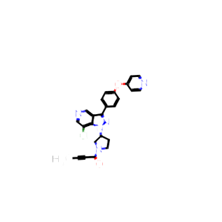 CC#CC(=O)N1CCC(n2nc(-c3ccc(Oc4ccncc4)cc3)c3cncc(Cl)c32)C1